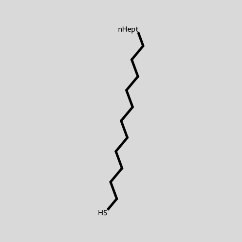 CCCCCCCCCCCCCCCCCCS